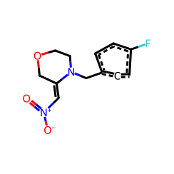 O=[N+]([O-])C=C1COCCN1Cc1ccc(F)cc1